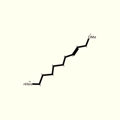 [CH2]OCC=CCCCCCCCCCCCC